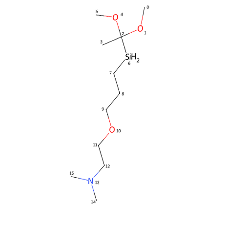 COC(C)(OC)[SiH2]CCCOCCN(C)C